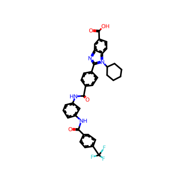 O=C(O)c1ccc2c(c1)nc(-c1ccc(C(=O)Nc3cccc(NC(=O)c4ccc(C(F)(F)F)cc4)c3)cc1)n2C1CCCCC1